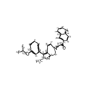 Cn1nc2c(c1-c1cccc(OC(F)F)c1)CCN(C(=O)c1ccc3ncccc3c1)C2